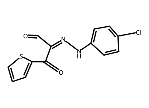 O=C/C(=N/Nc1ccc(Cl)cc1)C(=O)c1cccs1